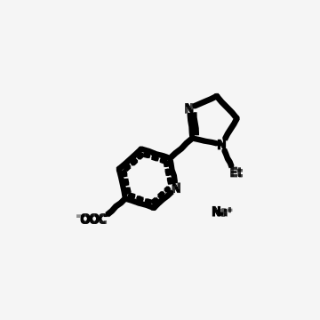 CCN1CCN=C1c1ccc(C(=O)[O-])cn1.[Na+]